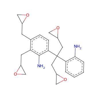 Nc1ccccc1C(CC1CO1)(CC1CO1)c1ccc(CC2CO2)c(CC2CO2)c1N